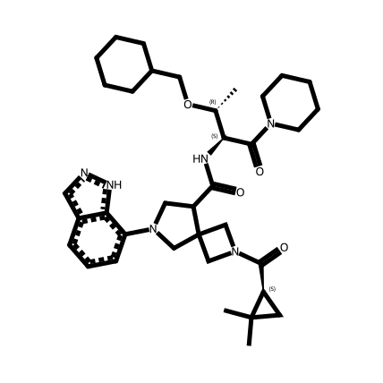 C[C@@H](OCC1CCCCC1)[C@H](NC(=O)C1CN(c2cccc3cn[nH]c23)CC12CN(C(=O)[C@H]1CC1(C)C)C2)C(=O)N1CCCCC1